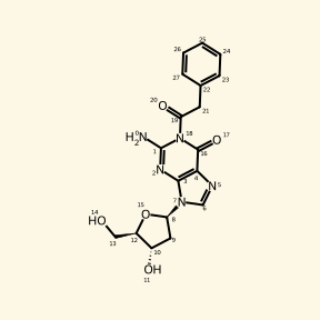 Nc1nc2c(ncn2[C@H]2C[C@H](O)[C@@H](CO)O2)c(=O)n1C(=O)Cc1ccccc1